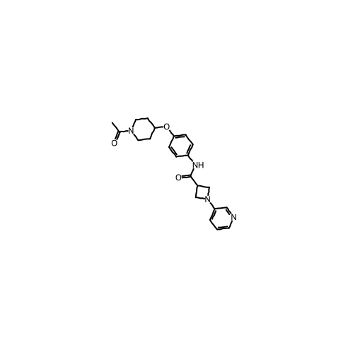 CC(=O)N1CCC(Oc2ccc(NC(=O)C3CN(c4cccnc4)C3)cc2)CC1